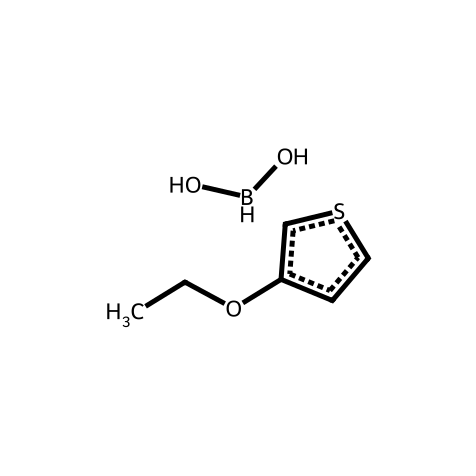 CCOc1ccsc1.OBO